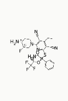 CCc1c(C#N)c(S[C@@](OC(=O)C(F)(F)F)(C(N)=O)c2ccccc2)nc(N2CC[C@@H](N)[C@@H](F)C2)c1C#N